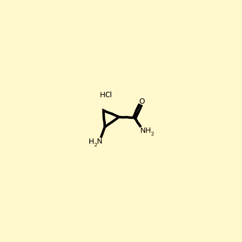 Cl.NC(=O)C1CC1N